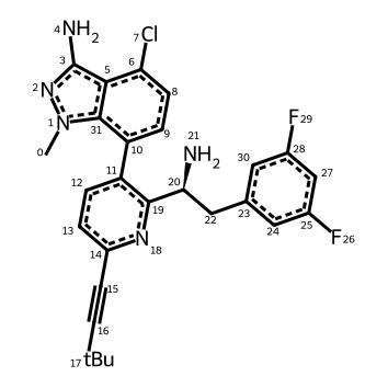 Cn1nc(N)c2c(Cl)ccc(-c3ccc(C#CC(C)(C)C)nc3[C@@H](N)Cc3cc(F)cc(F)c3)c21